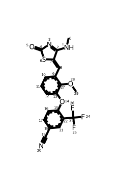 CNC1=NC(=O)S/C1=C\c1cccc(Oc2ccc(C#N)cc2C(F)(F)F)c1OC